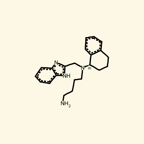 NCCCCN(Cc1nc2ccccc2[nH]1)[C@@H]1CCCc2ccccc21